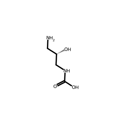 NC[C@H](O)CNC(=O)O